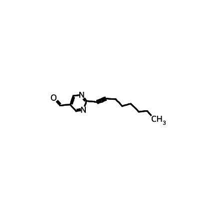 CCCCCCC#Cc1ncc(C=O)cn1